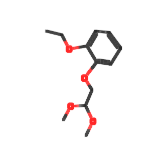 CCOc1ccccc1OCC(OC)OC